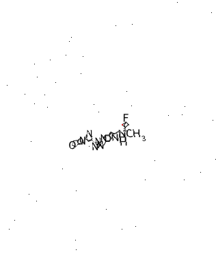 CC(NCc1cc2cnc(Cn3cnc(-c4cncc(-n5cc6c(c5)COC6)c4)n3)cc2[nH]1)C12CC(F)(C1)C2